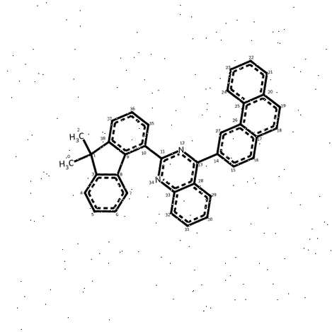 CC1(C)c2ccccc2-c2c(-c3nc(-c4ccc5ccc6ccccc6c5c4)c4ccccc4n3)cccc21